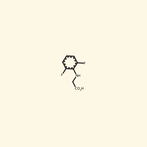 O=C(O)CNc1c(F)cccc1F